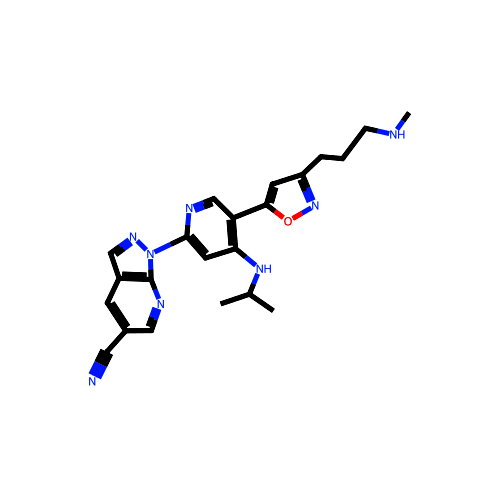 CNCCCc1cc(-c2cnc(-n3ncc4cc(C#N)cnc43)cc2NC(C)C)on1